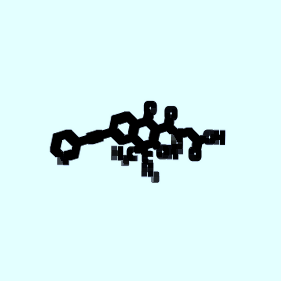 CC1(C)C(O)=C(C(=O)NCC(=O)O)C(=O)c2ccc(C#Cc3cccnc3)cc21